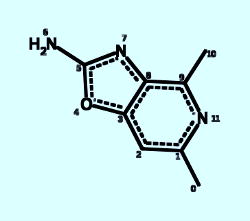 Cc1cc2oc(N)nc2c(C)n1